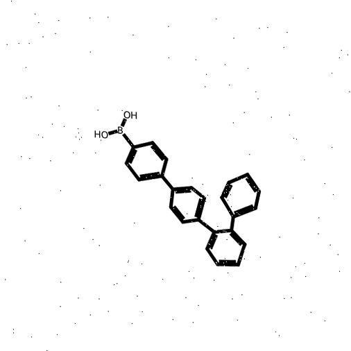 OB(O)c1ccc(-c2ccc(-c3ccccc3-c3ccccc3)cc2)cc1